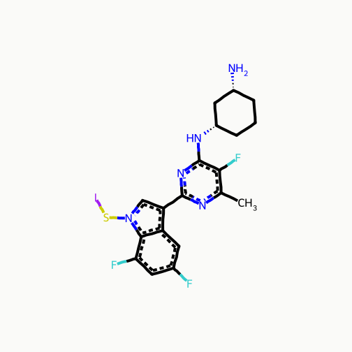 Cc1nc(-c2cn(SI)c3c(F)cc(F)cc23)nc(N[C@H]2CCC[C@@H](N)C2)c1F